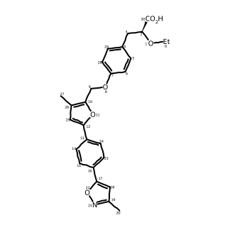 CCO[C@@H](Cc1ccc(OCc2oc(-c3ccc(-c4cc(C)no4)cc3)cc2C)cc1)C(=O)O